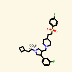 O=C(O)[C@@H](CC1CCC1)N1CC(CN2CCC(CCS(=O)(=O)c3ccc(F)cc3)CC2)C(c2cccc(F)c2)C1